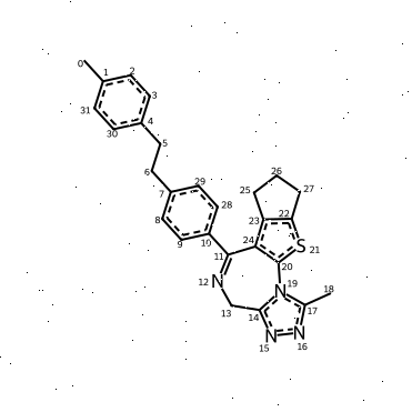 Cc1ccc(CCc2ccc(C3=NCc4nnc(C)n4-c4sc5c(c43)CCC5)cc2)cc1